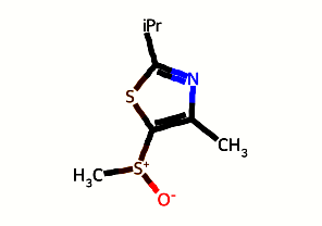 Cc1nc(C(C)C)sc1[S+](C)[O-]